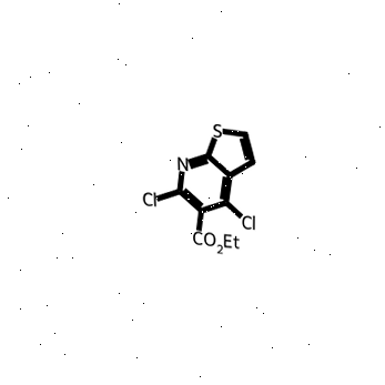 CCOC(=O)c1c(Cl)nc2sccc2c1Cl